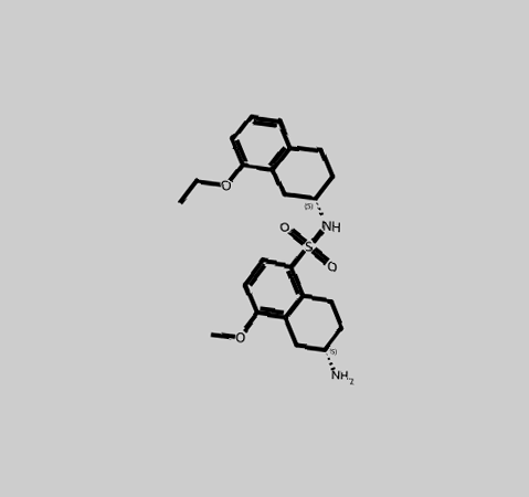 CCOc1cccc2c1C[C@@H](NS(=O)(=O)c1ccc(OC)c3c1CC[C@H](N)C3)CC2